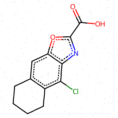 O=C(O)c1nc2c(Cl)c3c(cc2o1)CCCC3